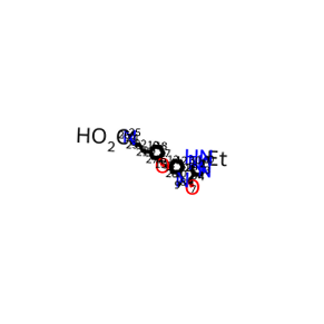 CCNc1ncc(C(=O)N(C)c2cccc(Oc3cccc(CCCN(C)C(=O)O)c3)c2)cn1